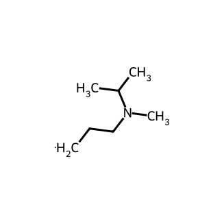 [CH2]CCN(C)C(C)C